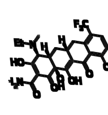 CCN(C)[C@@H]1C(O)=C(C(N)=O)C(=O)[C@@]2(O)C(O)=C3C(=O)c4c(O)ccc(C(F)(F)F)c4C[C@H]3C[C@@H]12